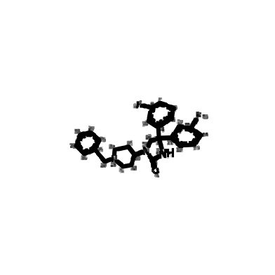 O=C1NC(c2cccc(F)c2)(c2cccc(F)c2)CN1C1CCN(Cc2ccccc2)CC1